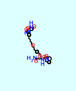 Cn1c(=O)n(C2CCC(=O)NC2=O)c2ccc(CCCCCOCCCc3ccc(COC[C@H](CCC(N)=O)NC(=O)[C@@H]4Cc5cccc6c5N4C(=O)CCC6)cc3)cc21